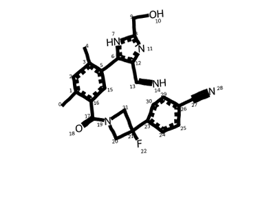 Cc1cc(C)c(-c2[nH]c(CO)nc2C=N)cc1C(=O)N1CC(F)(c2ccc(C#N)cc2)C1